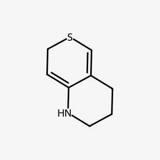 C1=C2CCCNC2=CCS1